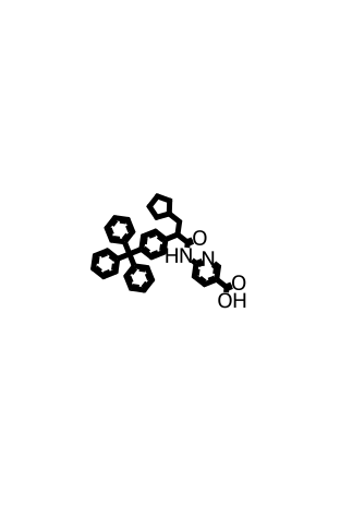 O=C(O)c1ccc(NC(=O)C(CC2CCCC2)c2ccc(C(c3ccccc3)(c3ccccc3)c3ccccc3)cc2)nc1